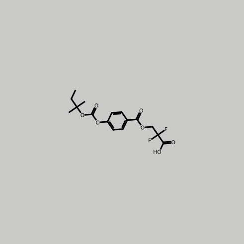 CCC(C)(C)OC(=O)Oc1ccc(C(=O)OCC(F)(F)C(=O)O)cc1